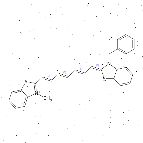 C[n+]1c(/C=C/C=C/C=C/C=C2\SC3C=CC=CC3N2Cc2ccccc2)sc2ccccc21